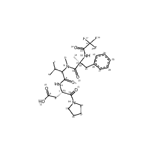 CC(C)C(C(=O)N[C@@H](CC(=O)O)C(=O)N1CCCC1)N(C)C(=O)[C@](C)(Cc1ccccc1)NC(=O)C(F)(F)F